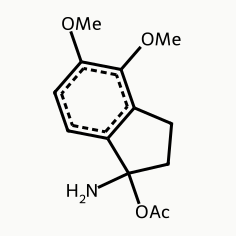 COc1ccc2c(c1OC)CCC2(N)OC(C)=O